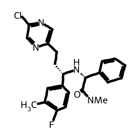 CNC(=O)[C@H](N[C@@H](CCc1cnc(Cl)cn1)c1ccc(F)c(C)c1)c1ccccc1